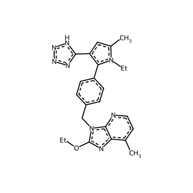 CCOc1nc2c(C)ccnc2n1Cc1ccc(-c2c(-c3nnn[nH]3)cc(C)n2CC)cc1